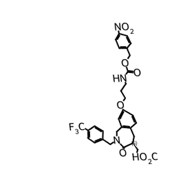 O=C(O)C[C@@H]1Cc2ccc(OCCCNC(=O)OCc3ccc([N+](=O)[O-])cc3)cc2CN(Cc2ccc(C(F)(F)F)cc2)C1=O